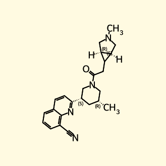 C[C@@H]1C[C@H](c2ccc3cccc(C#N)c3n2)CN(C(=O)CC2[C@H]3CN(C)C[C@@H]23)C1